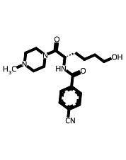 CN1CCN(C(=O)[C@H](CCCCO)NC(=O)c2ccc(C#N)cc2)CC1